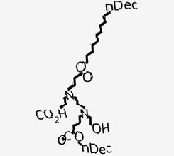 CCCCCCCCCCCCCCCCCCCCCOC(=O)CCCN(CCCC(=O)O)CCCN(CCO)CCCC(=C=O)OCCCCCCCCCCC